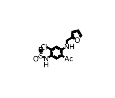 CC(=O)c1cc(N[SH](=O)=O)c(Cl)cc1NCc1ccco1